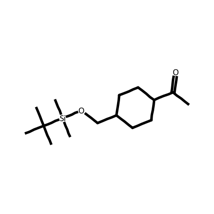 CC(=O)C1CCC(CO[Si](C)(C)C(C)(C)C)CC1